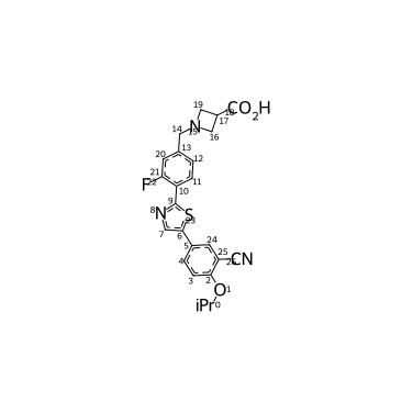 CC(C)Oc1ccc(-c2cnc(-c3ccc(CN4CC(C(=O)O)C4)cc3F)s2)cc1C#N